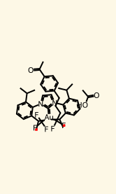 CC(=O)O.CC(=O)c1ccc(CCC[C](F)(F)[Au](=[c]2n(-c3c(C(C)C)cccc3C(C)C)ccn2-c2c(C(C)C)cccc2C(C)C)[C](F)(F)F)cc1